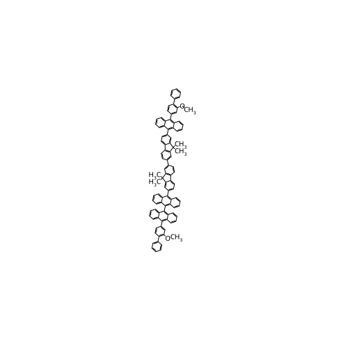 COc1cc(-c2c3ccccc3c(-c3ccc4c(c3)C(C)(C)c3cc(-c5ccc6c(c5)C(C)(C)c5cc(-c7c8ccccc8c(-c8c9ccccc9c(-c9ccc(-c%10ccccc%10)c(OC)c9)c9ccccc89)c8ccccc78)ccc5-6)ccc3-4)c3ccccc23)ccc1-c1ccccc1